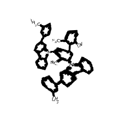 Cc1cccc(-c2ccc3c4ccccc4n(-c4cc(-c5c(C#N)cccc5C(F)(F)F)cc(-n5c6ccccc6c6ccc(-c7cccc(C)c7)cc65)c4C#N)c3c2)c1